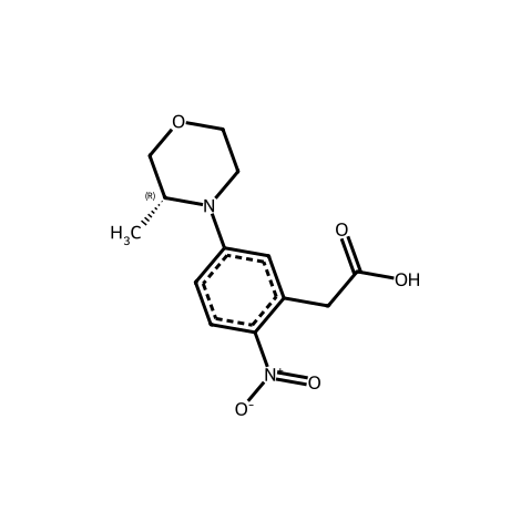 C[C@@H]1COCCN1c1ccc([N+](=O)[O-])c(CC(=O)O)c1